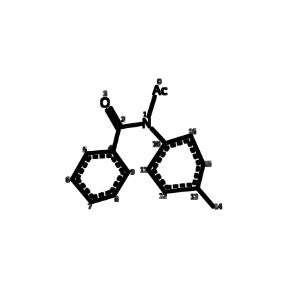 CC(=O)N(C(=O)c1ccccc1)c1ccc(C)cc1